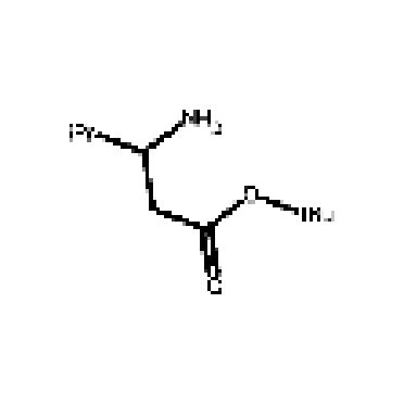 CC(C)C(N)CC(=O)OC(C)(C)C